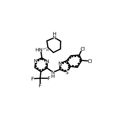 FC(F)(F)c1cnc(N[C@H]2CCCNC2)nc1Nc1nc2cc(Cl)c(Cl)cc2s1